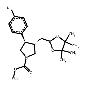 CCCCOC(=O)N1C[C@@H](CB2OC(C)(C)C(C)(C)O2)[C@H](c2ccc(C#N)cc2)C1